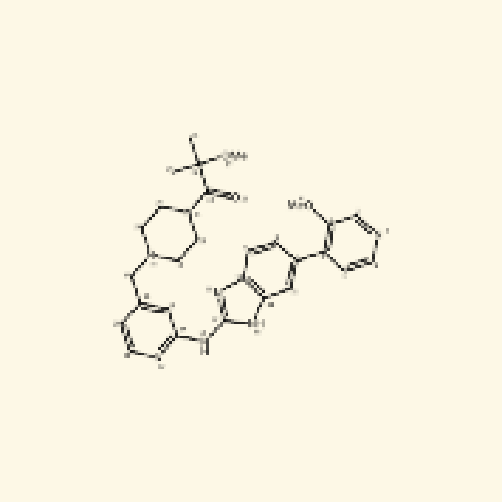 COc1cnccc1-c1ccc2nc(Nc3cc(CN4CCN(C(=O)C(C)(C)OC)CC4)ccn3)[nH]c2c1